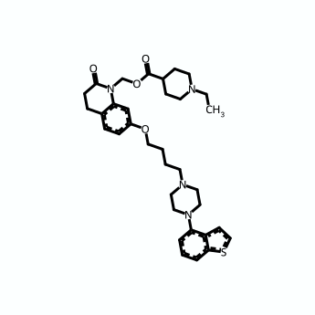 CCN1CCC(C(=O)OCN2C(=O)CCc3ccc(OCCCCN4CCN(c5cccc6sccc56)CC4)cc32)CC1